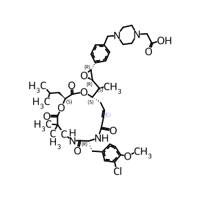 COc1ccc(C[C@H]2NC(=O)/C=C/C[C@@H]([C@H](C)[C@H]3O[C@@H]3c3ccc(CN4CCN(CC(=O)O)CC4)cc3)OC(=O)[C@H](CC(C)C)OC(=O)C(C)(C)CNC2=O)cc1Cl